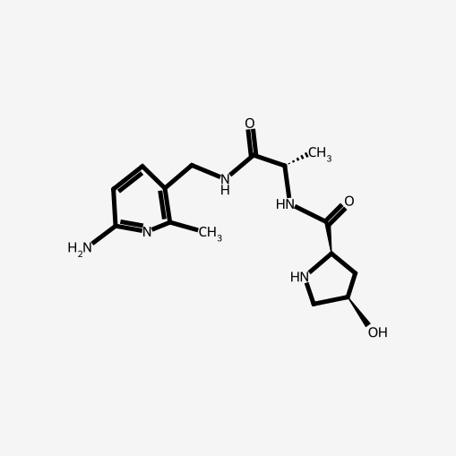 Cc1nc(N)ccc1CNC(=O)[C@H](C)NC(=O)[C@H]1C[C@@H](O)CN1